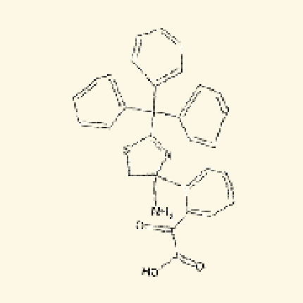 NC1(c2ccccc2C(=O)C(=O)O)CSC(C(c2ccccc2)(c2ccccc2)c2ccccc2)=N1